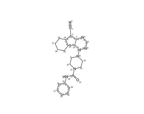 N#Cc1c2ncnn(N3CCN(C(=O)Nc4ccccc4)CC3)c-2c2c1CCCC2